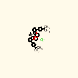 CC(C)c1ccc(-c2cccc3c2C=C(C2CCCCC2)[CH]3[Hf+2]2([CH]3C(C4CCCCC4)=Cc4c(-c5ccc(C(C)C)cc5)cccc43)[CH2][CH2]2)cc1.[Cl-].[Cl-]